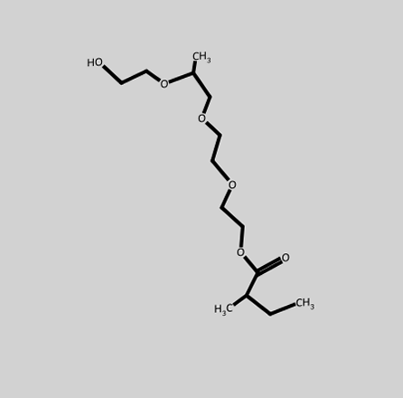 CCC(C)C(=O)OCCOCCOCC(C)OCCO